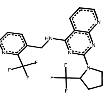 FC(F)(F)c1ncccc1CNc1nc(N2CCCC2C(F)(F)F)nc2ncccc12